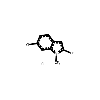 CCc1cc2ccc(Cl)cc2[s+]1C(F)(F)F.[Cl-]